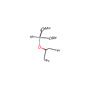 CCCC(CCC)O[Si](CCC)(OC)OC